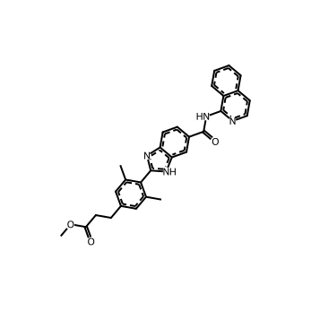 COC(=O)CCc1cc(C)c(-c2nc3ccc(C(=O)Nc4nccc5ccccc45)cc3[nH]2)c(C)c1